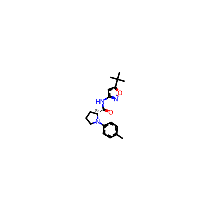 Cc1ccc(N2CCC[C@@H]2C(=O)Nc2cc(C(C)(C)C)on2)cc1